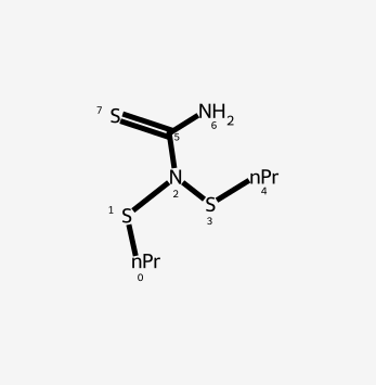 CCCSN(SCCC)C(N)=S